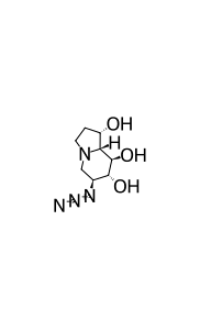 [N-]=[N+]=N[C@H]1CN2CC[C@H](O)[C@@H]2[C@@H](O)[C@@H]1O